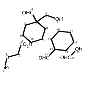 CC(C)O[CH]C(=O)O.O=CC1([CH]O)CCCCC1.O=CC1CCCCC1.O=[C]O